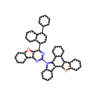 c1ccc(-c2ccc(-c3nc(-n4c5ccccc5c5c6sc7ccccc7c6c6ccccc6c54)nc4c3oc3ccccc34)c3ccccc23)cc1